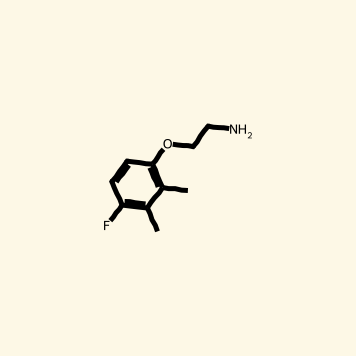 Cc1c(F)ccc(OCCN)c1C